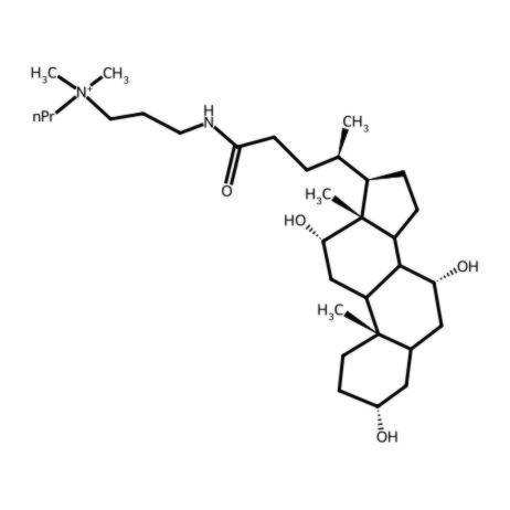 CCC[N+](C)(C)CCCNC(=O)CC[C@@H](C)[C@H]1CCC2C3C(C[C@H](O)[C@@]21C)[C@@]1(C)CC[C@@H](O)CC1C[C@H]3O